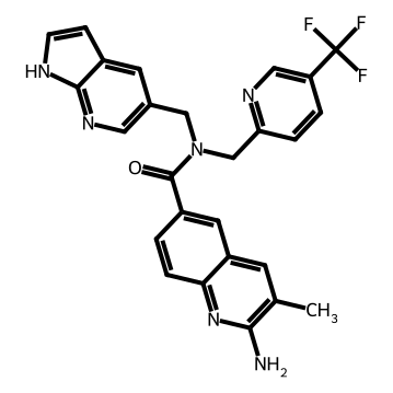 Cc1cc2cc(C(=O)N(Cc3cnc4[nH]ccc4c3)Cc3ccc(C(F)(F)F)cn3)ccc2nc1N